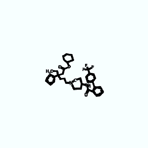 CCC(CCCN1CCC(NC(=O)c2ccccc2-c2ccc(C(F)(F)F)cc2)CC1)(CC(=O)OC1CCCCC1)c1ccccc1